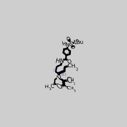 C=C/C=C(\C=C/CNC(=O)c1ccc(NS(=O)(=O)C(C)(C)C)cc1)N1C[C@H](C)O[C@H](C)C1C